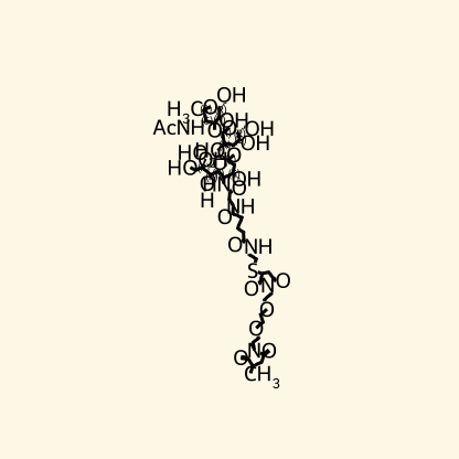 CC(=O)N[C@@H]1C(O[C@@H]2O[C@H](CO)[C@H](O)C(O[C@]3(C(=O)O)C[C@H](O)C(NC(=O)CNC(=O)CCCC(=O)NCCSC4CC(=O)N(CCOCCOCCN5C(=O)CC(C)C5=O)C4=O)[C@H]([C@H](O)[C@H](O)CO)O3)[C@H]2O)[C@@H](O)[C@@H](CO)O[C@@H]1C